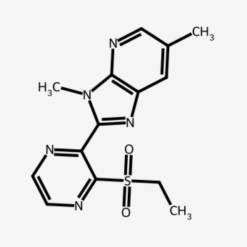 CCS(=O)(=O)c1nccnc1-c1nc2cc(C)cnc2n1C